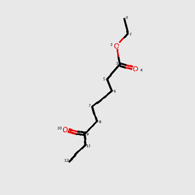 CCOC(=O)CCCCC(=O)CC